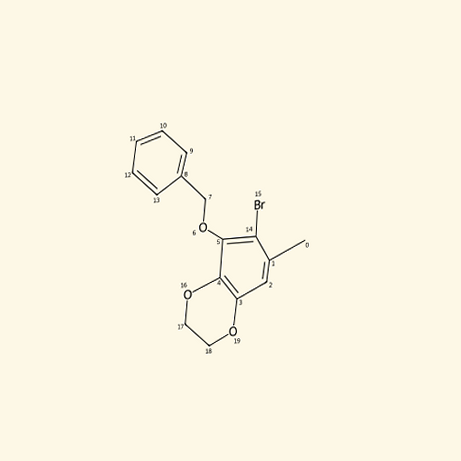 Cc1cc2c(c(OCc3ccccc3)c1Br)OCCO2